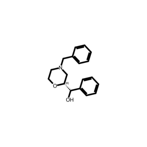 OC(c1ccccc1)[C@H]1CN(Cc2ccccc2)CCO1